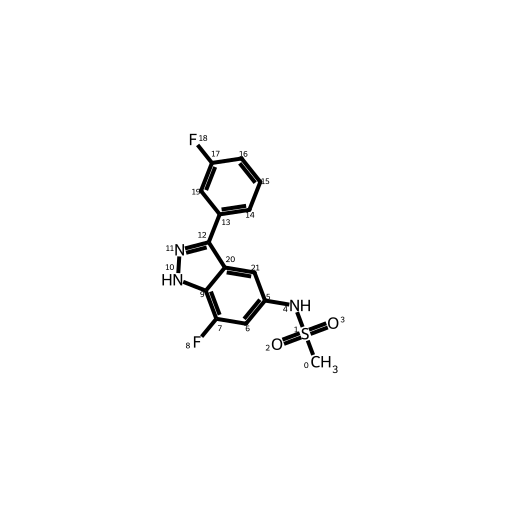 CS(=O)(=O)Nc1cc(F)c2[nH]nc(-c3cccc(F)c3)c2c1